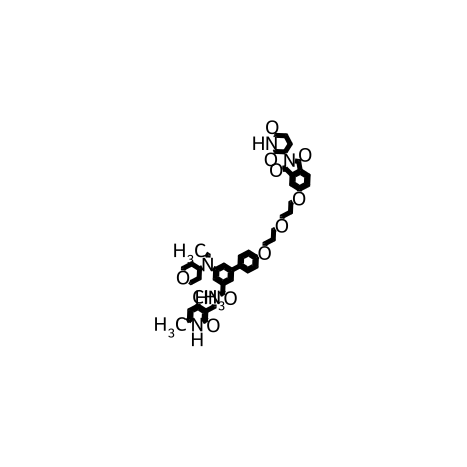 CCN(c1cc(C(=O)NCc2c(C)cc(C)[nH]c2=O)cc(-c2ccc(OCCCOCCCOc3ccc4c(c3)C(=O)N(C3CCC(=O)NC3=O)C4=O)cc2)c1)C1CCOCC1